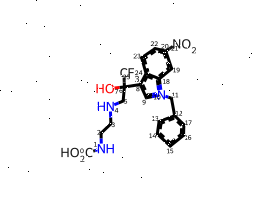 O=C(O)NCCNCC(O)(c1cn(Cc2ccccc2)c2cc([N+](=O)[O-])ccc12)C(F)(F)F